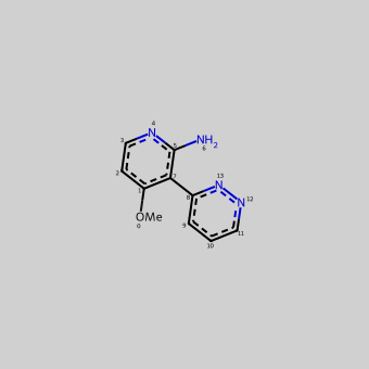 COc1ccnc(N)c1-c1cccnn1